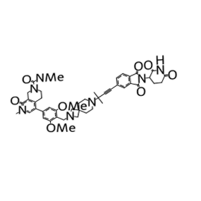 CNC(=O)N1CCc2c(-c3cc(OC)c(CN4CC5(CCN(C(C)(C)C#Cc6ccc7c(c6)C(=O)N(C6CCC(=O)NC6=O)C7=O)CC5)C4)c(OC)c3)cn(C)c(=O)c2C1